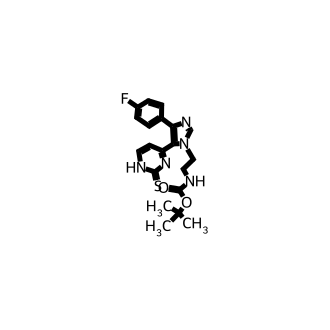 CC(C)(C)OC(=O)NCCn1cnc(-c2ccc(F)cc2)c1-c1cc[nH]c(=S)n1